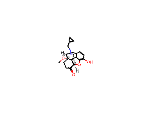 CO[C@@]12CCC(=O)[C@@H]3Oc4c(O)ccc5c4[C@@]31CCN(CC1CC1)[C@@H]2C5